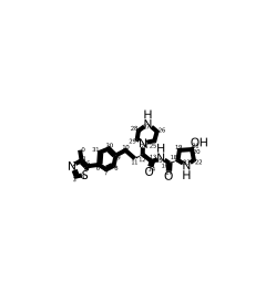 Cc1ncsc1-c1ccc(CC[C@@H](C(=O)NC(=O)[C@@H]2C[C@@H](O)CN2)N2CCNCC2)cc1